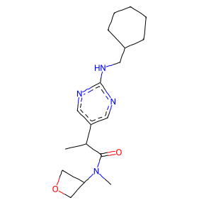 CC(C(=O)N(C)C1COC1)c1cnc(NCC2CCCCC2)nc1